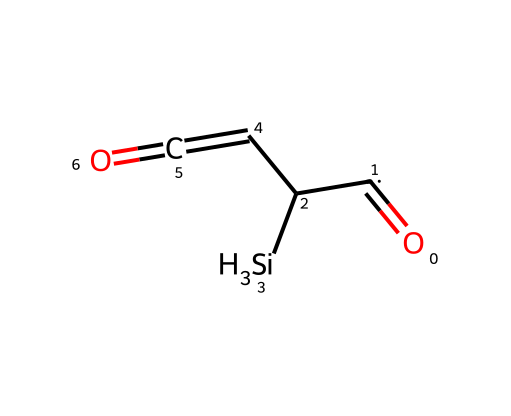 O=[C]C([SiH3])C=C=O